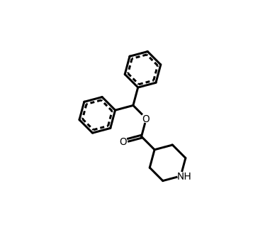 O=C(OC(c1ccccc1)c1ccccc1)C1CCNCC1